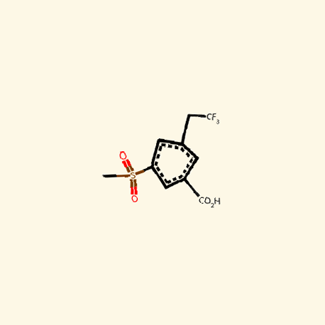 CS(=O)(=O)c1cc(CC(F)(F)F)cc(C(=O)O)c1